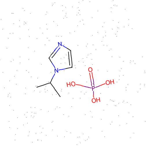 CC(C)n1ccnc1.O=P(O)(O)O